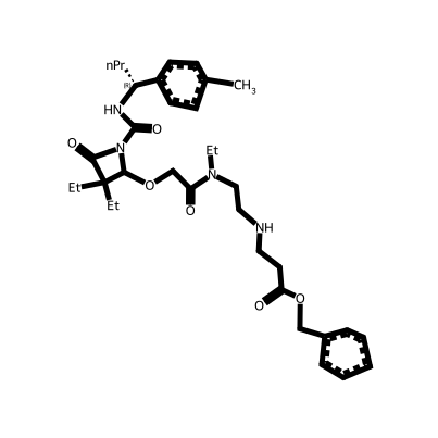 CCC[C@@H](NC(=O)N1C(=O)C(CC)(CC)C1OCC(=O)N(CC)CCNCCC(=O)OCc1ccccc1)c1ccc(C)cc1